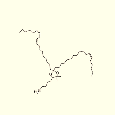 CCCCC/C=C\C/C=C\CCCCCCCCC1(CCCCCCCC/C=C\C/C=C\CCCCC)OC(CCCCN)C(C)(C)O1